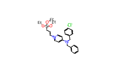 CCO[Si](CCC[n+]1ccc(N(Cc2ccccc2)Cc2ccccc2)cc1)(OCC)OCC.[Cl-]